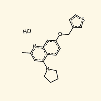 Cc1cc(N2CCCC2)c2ccc(OCc3ccsc3)cc2n1.Cl